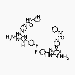 CN(C(=O)CN1CCN(c2nc(N)nc3[nH]c(-c4ccc(F)cc4)nc23)CC1)c1ccccc1.Nc1nc(N2CCN(CC(=O)Nc3cccnc3)CC2)c2nc(-c3ccc(F)cc3)[nH]c2n1